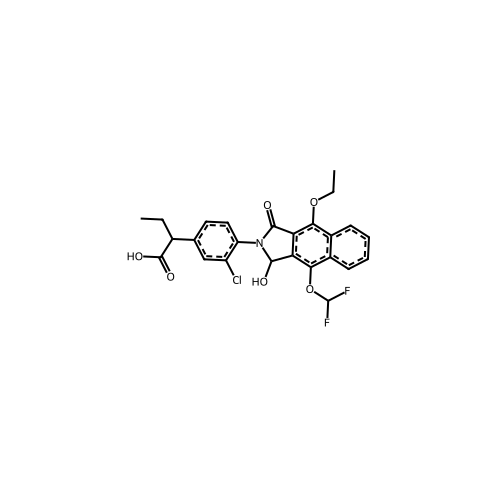 CCOc1c2c(c(OC(F)F)c3ccccc13)C(O)N(c1ccc(C(CC)C(=O)O)cc1Cl)C2=O